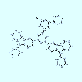 Brc1cc(-c2ccccc2)cc(-c2cc(-c3ccc4c(c3)c3ccccc3n4-c3ccccc3)cc(-c3ccc4c(c3)c3ccccc3n4-c3ccccc3)c2)c1